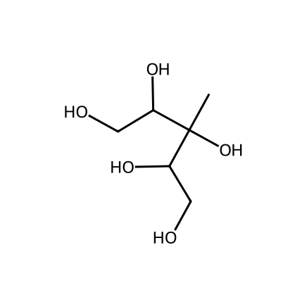 CC(O)(C(O)CO)C(O)CO